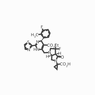 CCOC(=O)C1=C(CN2CC(F)(F)[C@@H]3C(=O)N(C4(C(=O)O)CC4)C[C@@H]32)NC(c2nccs2)=N[C@H]1c1cccc(F)c1C